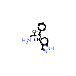 CC(C)(CN)C(c1ccccc1)c1ccc2[nH]ncc2c1